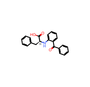 O=C(c1ccccc1)c1ccccc1N[C@@H](Cc1ccccc1)C(=O)O